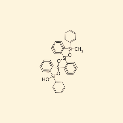 C[Si](O[Si](O[Si](O[Si](O)(c1ccccc1)c1ccccc1)(c1ccccc1)c1ccccc1)(c1ccccc1)c1ccccc1)(c1ccccc1)c1ccccc1